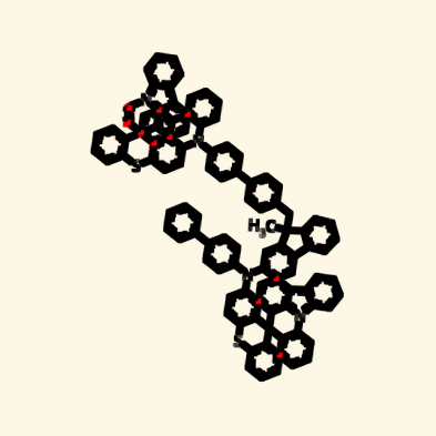 CC1(Cc2ccc(-c3ccc(N(c4ccc5c(c4)C4(c6ccccc6S5)c5ccccc5-n5c6ccccc6c6cccc4c65)c4ccccc4-c4ccccc4)cc3)cc2)c2ccccc2-c2ccc(N(c3ccc(-c4ccccc4)cc3)c3ccc4c(c3)C3(c5ccccc5S4)c4ccccc4-n4c5ccccc5c5cccc3c54)cc21